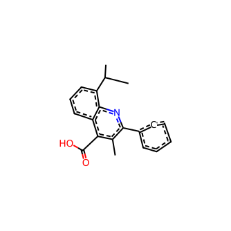 Cc1c(-c2ccccc2)nc2c(C(C)C)cccc2c1C(=O)O